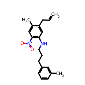 C=CCc1cc(NCCCc2cccc(C)c2)c([N+](=O)[O-])cc1C